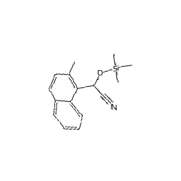 Cc1ccc2ccccc2c1C(C#N)O[Si](C)(C)C